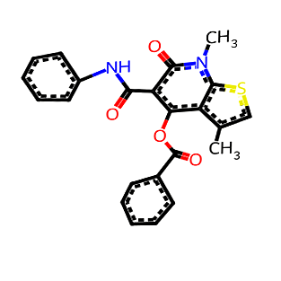 Cc1csc2c1c(OC(=O)c1ccccc1)c(C(=O)Nc1ccccc1)c(=O)n2C